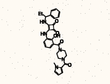 CCC(Nc1c(Nc2cccc(C(=O)N3CCN(C(=O)c4cccn4C)CC3)c2O)c(=O)c1=O)c1ccccc1